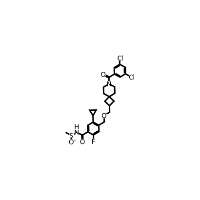 C[S+]([O-])NC(=O)c1cc(C2CC2)c(COCC2CC3(CCN(C(=O)c4cc(Cl)cc(Cl)c4)CC3)C2)cc1F